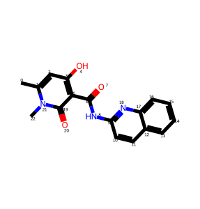 Cc1cc(O)c(C(=O)Nc2ccc3ccccc3n2)c(=O)n1C